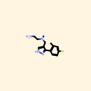 Cc1cc(F)ccc1-c1n[nH]cc1CN(C)CCN